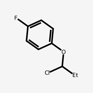 CCC(Cl)Oc1ccc(F)cc1